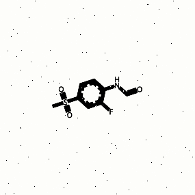 CS(=O)(=O)c1ccc(NC=O)c(F)c1